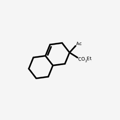 CCOC(=O)C1(C(C)=O)CC=C2CCCCC2C1